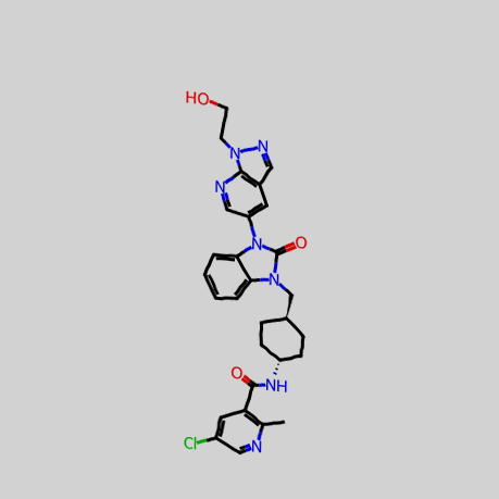 Cc1ncc(Cl)cc1C(=O)N[C@H]1CC[C@H](Cn2c(=O)n(-c3cnc4c(cnn4CCO)c3)c3ccccc32)CC1